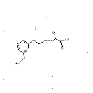 NCc1cccc(CCCCC(S)C(=O)O)c1